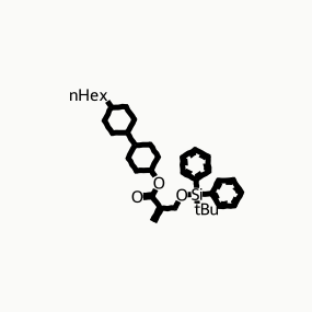 C=C(CO[Si](c1ccccc1)(c1ccccc1)C(C)(C)C)C(=O)OC1CCC(C2CCC(CCCCCC)CC2)CC1